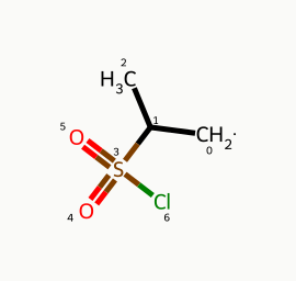 [CH2]C(C)S(=O)(=O)Cl